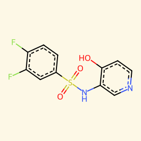 O=S(=O)(Nc1cnccc1O)c1ccc(F)c(F)c1